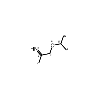 CC(=N)COC(C)C